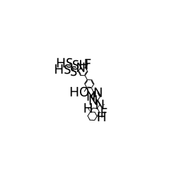 CN(c1cnc(-c2ccc(-c3cc(F)nc(SC(S)(S)S)c3)cc2O)nn1)[C@@H]1C[C@H]2CCC[C@H](C2)[C@@H]1F